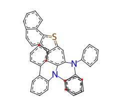 c1ccc(-c2ccccc2N(c2ccccc2)c2cc3c(cc2N(c2ccccc2)c2ccccc2)sc2c4ccccc4ccc32)cc1